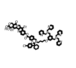 CCc1c2c(nc3ccc(OC(=O)c4ccc(CN(CCCCOc5cc(CN(Cc6ccccn6)Cc6ccccn6)cc(CN(Cc6ccccn6)Cc6ccccn6)c5)C(=O)C5(c6ccc(Cl)cc6)CCCCC5)cc4)cc13)-c1cc3c(c(=O)n1C2)COC(=O)[C@]3(O)CC